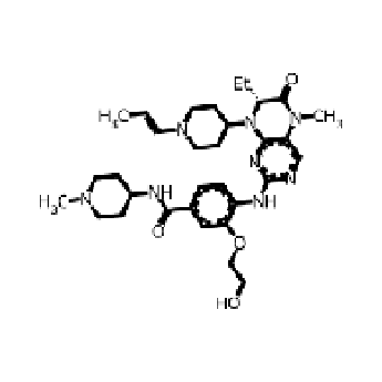 CC=CN1CCC(N2c3nc(Nc4ccc(C(=O)NC5CCN(C)CC5)cc4OCCO)ncc3N(C)C(=O)[C@H]2CC)CC1